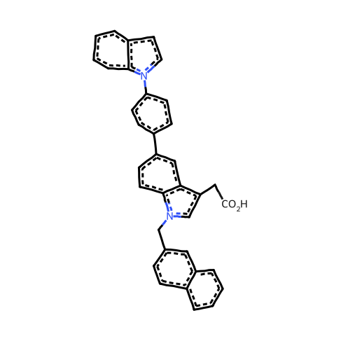 O=C(O)Cc1cn(Cc2ccc3ccccc3c2)c2ccc(-c3ccc(-n4ccc5ccccc54)cc3)cc12